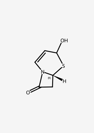 O=C1C[C@H]2SC(O)C=CN12